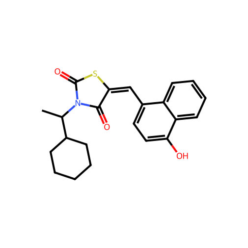 CC(C1CCCCC1)N1C(=O)SC(=Cc2ccc(O)c3ccccc23)C1=O